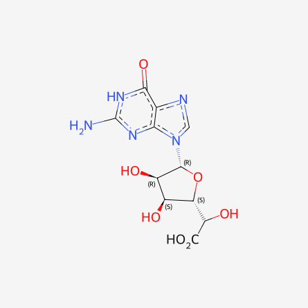 Nc1nc2c(ncn2[C@@H]2O[C@H](C(O)C(=O)O)[C@@H](O)[C@H]2O)c(=O)[nH]1